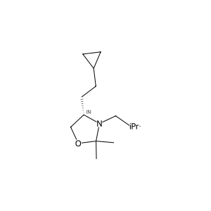 C[C](C)CN1[C@@H](CCC2CC2)COC1(C)C